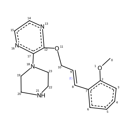 COc1ccccc1/C=C/COc1nccnc1N1CCNCC1